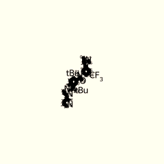 Cc1cn(-c2cc(N(C(=O)c3ccc(C)c(N(c4nccc(-c5cccnc5)n4)C(C)(C)C)c3)C(C)(C)C)cc(C(F)(F)F)c2)cn1